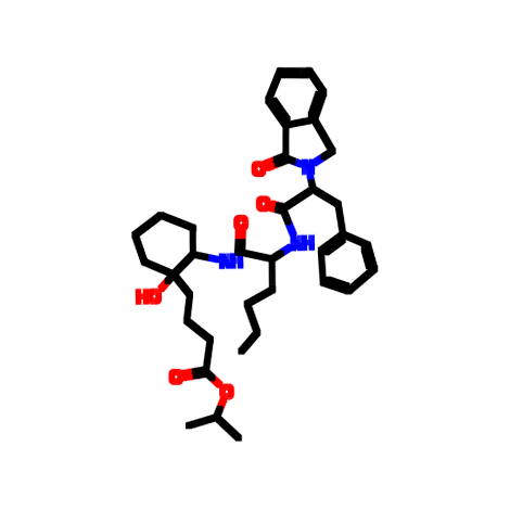 CCCCC(NC(=O)C(Cc1ccccc1)N1Cc2ccccc2C1=O)C(=O)NC1CCCCC1(O)CCCC(=O)OC(C)C